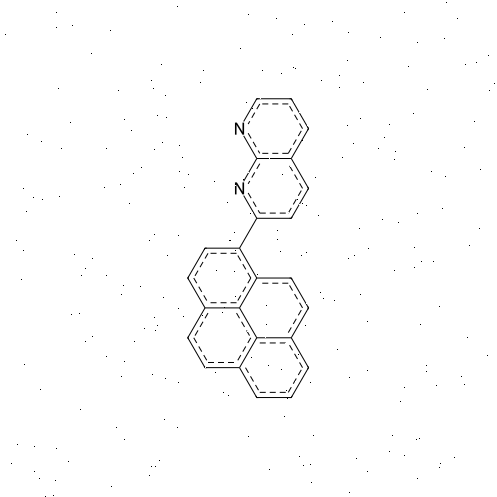 c1cnc2nc(-c3ccc4ccc5cccc6ccc3c4c56)ccc2c1